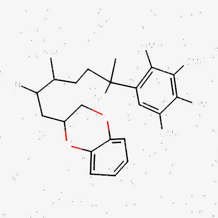 COc1cc(C(C)(C#N)CCC(OC(C)=O)C(CC2COc3ccccc3O2)[N+](=O)[O-])c(OC)c(OC)c1OC